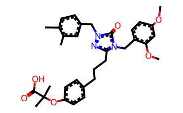 COc1ccc(Cn2c(CCCc3ccc(OC(C)(C)C(=O)O)cc3)nn(Cc3ccc(C)c(C)c3)c2=O)c(OC)c1